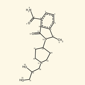 CC1c2cccc(C(N)=O)c2C(=O)N1C1CCN(CC(O)CO)CC1